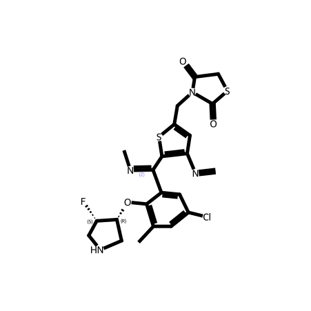 C=Nc1cc(CN2C(=O)CSC2=O)sc1/C(=N\C)c1cc(Cl)cc(C)c1O[C@@H]1CNC[C@@H]1F